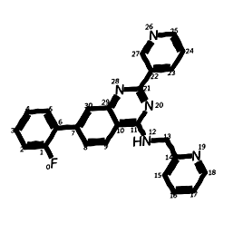 Fc1ccccc1-c1ccc2c(NCc3ccccn3)nc(-c3cccnc3)nc2c1